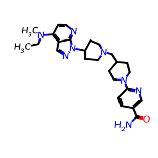 CCN(C)c1ccnc2c1cnn2C1CCN(CC2CCN(c3ccc(C(N)=O)cn3)CC2)CC1